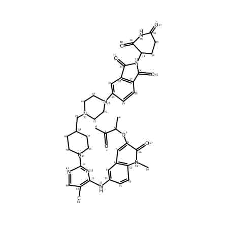 CC(=O)C(C)Oc1cc2cc(Nc3nc(N4CCC(CN5CCN(c6ccc7c(c6)C(=O)N(C6CCC(=O)NC6=O)C7=O)CC5)CC4)ncc3Cl)ccc2n(C)c1=O